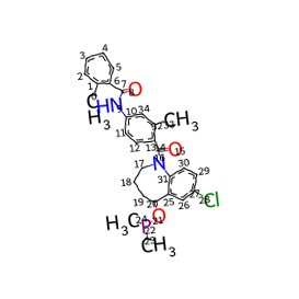 Cc1ccccc1C(=O)Nc1ccc(C(=O)N2CCCC(OP(C)C)c3cc(Cl)ccc32)c(C)c1